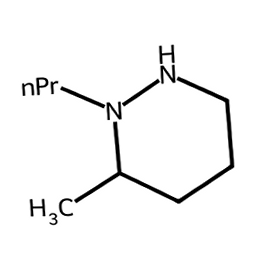 CCCN1NCCCC1C